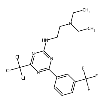 CCN(CC)CCNc1nc(-c2cccc(C(F)(F)F)c2)nc(C(Cl)(Cl)Cl)n1